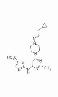 Cc1nc(Nc2ncc(C(=O)O)s2)cc(N2CCN(N=CCC3CC3)CC2)n1